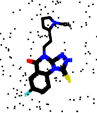 CN1CCCC1CCn1c(=O)c2cc(F)ccc2n2c(=S)[nH]nc12